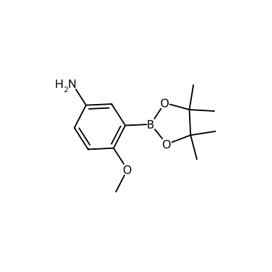 COc1ccc(N)cc1B1OC(C)(C)C(C)(C)O1